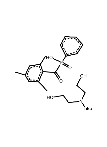 CCCCN(CCO)CCO.Cc1cc(C)c(C(=O)P(=O)(O)c2ccccc2)c(C)c1